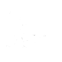 COC(=O)N(CCC(=O)c1ccc(F)cc1)[C@@H](C)c1ccc(Br)cc1